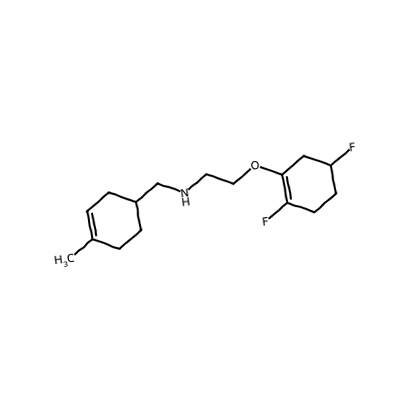 CC1=CCC(CNCCOC2=C(F)CCC(F)C2)CC1